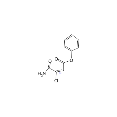 NC(=O)/C(Cl)=C\C(=O)Oc1ccccc1